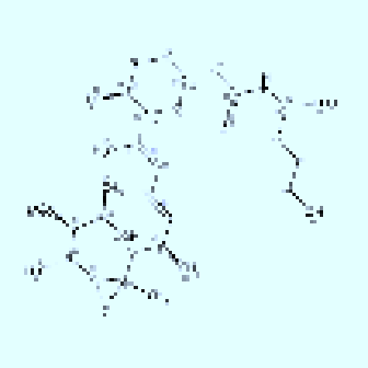 CO[C@H]([C@@H](C)[C@H]1OC1(C)C[C@H](C)/C=C/C=C(\C)[C@H]1O[C@@H](CC(=O)N[C@@H](CCCO)C(=O)O)CC[C@@H]1C)[C@@H](C)O